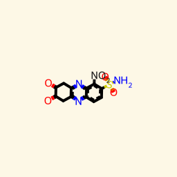 NS(=O)(=O)c1ccc2nc3c(nc2c1[N+](=O)[O-])CC(=O)C(=O)C3